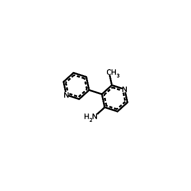 Cc1nccc(N)c1-c1cccnc1